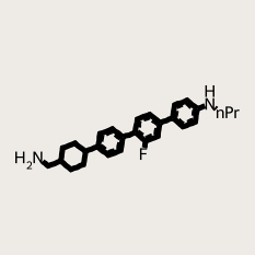 CCCNc1ccc(-c2ccc(-c3ccc(C4CCC(CN)CC4)cc3)c(F)c2)cc1